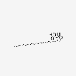 CCCCCCCCCCCCCCCCCCCCCC(CC)C(C(=O)O)C(=O)O